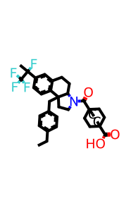 CCc1ccc(CC23CCN(C(=O)C45CCC(C(=O)O)(CC4)CC5)C2CCc2cc(C(C)(F)C(F)(F)F)ccc23)cc1